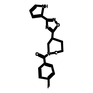 O=C(c1ccc(F)cc1)N1CCCC(c2nc(-c3ccc[nH]3)no2)C1